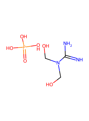 N=C(N)N(CO)CO.O=P(O)(O)O